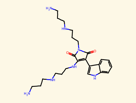 NCCCNCCCNC1=C(c2c[nH]c3ccccc23)C(=O)N(CCCNCCCN)C1=O